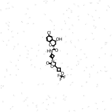 O=C(NC12CC(N3CC(C4CC(OC(F)(F)F)C4)OC3=O)(C1)C2)[C@H]1C[C@@H](O)c2cc(Cl)ccc2O1